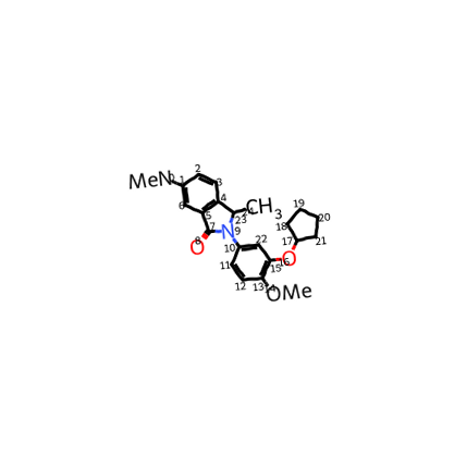 CNc1ccc2c(c1)C(=O)N(c1ccc(OC)c(OC3CCCC3)c1)C2C